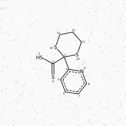 S=C(S)C1(c2ccccn2)SCCCS1